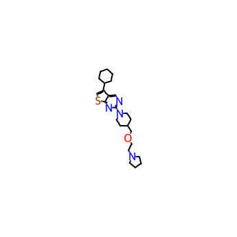 c1sc2nc(N3CCC(COCCN4CCCC4)CC3)ncc2c1C1CCCCC1